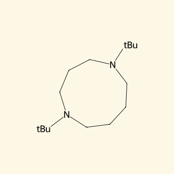 CC(C)(C)N1CCCCN(C(C)(C)C)CCC1